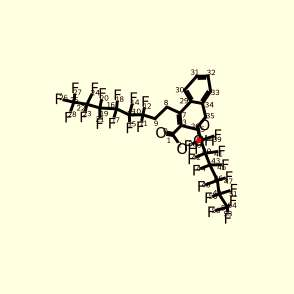 O=C(O)C(C(=O)O)=C(CCC(F)(F)C(F)(F)C(F)(F)C(F)(F)C(F)(F)C(F)(F)F)c1ccccc1CCC(F)(F)C(F)(F)C(F)(F)C(F)(F)C(F)(F)C(F)(F)F